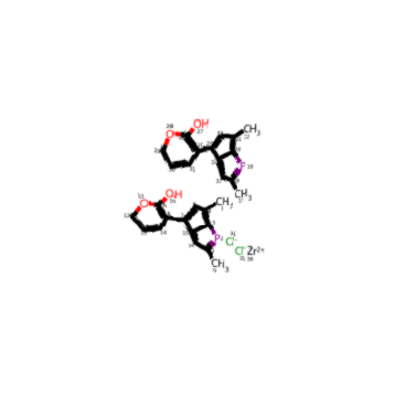 CC1=PC2=C(C)C=C(C3=C(O)OCC=C3)C2=C1.CC1=PC2=C(C)C=C(C3=C(O)OCC=C3)C2=C1.[Cl-].[Cl-].[Zr+2]